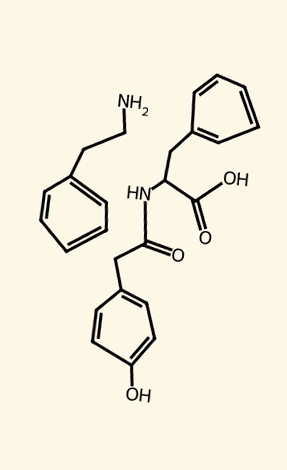 NCCc1ccccc1.O=C(Cc1ccc(O)cc1)NC(Cc1ccccc1)C(=O)O